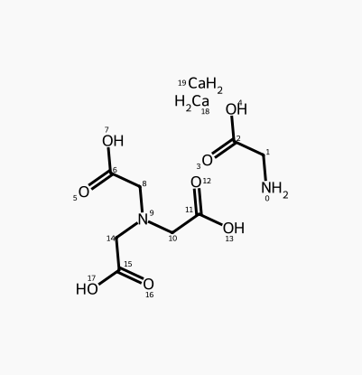 NCC(=O)O.O=C(O)CN(CC(=O)O)CC(=O)O.[CaH2].[CaH2]